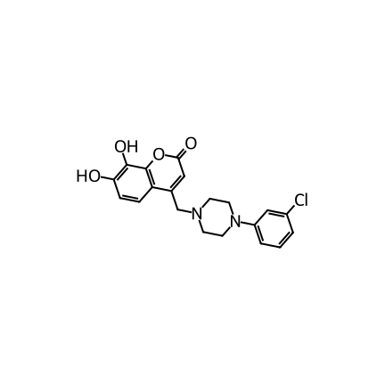 O=c1cc(CN2CCN(c3cccc(Cl)c3)CC2)c2ccc(O)c(O)c2o1